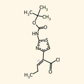 CC/C=C(\C(=O)Cl)c1csc(NC(=O)OC(C)(C)C)n1